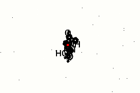 CC[C@H]1O[C@@H](n2cnc3c(NC(c4ccccc4)(c4ccccc4)c4ccc(OC)cc4)ncnc32)C(O)C1C